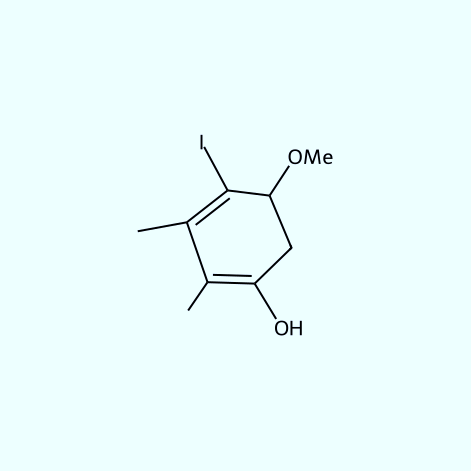 COC1CC(O)=C(C)C(C)=C1I